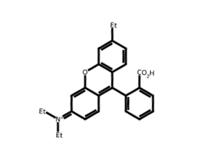 CCc1ccc2c(-c3ccccc3C(=O)O)c3ccc(=[N+](CC)CC)cc-3oc2c1